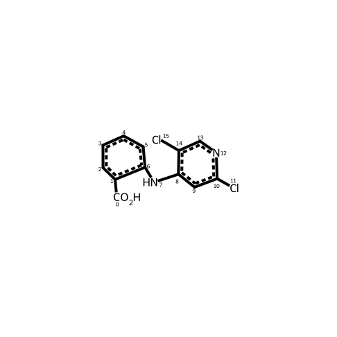 O=C(O)c1ccccc1Nc1cc(Cl)ncc1Cl